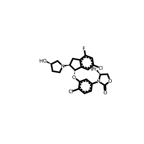 CC(C)[C@H]1COC(=O)N1c1ccc(Cl)c(O[C@H]2c3cc(Cl)cc(F)c3C[C@@H]2N2CC[C@@H](O)C2)c1